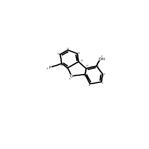 Oc1cccc2oc3c(F)cccc3c12